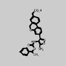 Cc1onc(-c2ccc3c(c2)OCc2cc(CC(=O)O)ccc2-3)c1NC(=O)OC(C)c1ccccc1